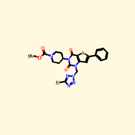 CCc1nnn(Cn2c(=O)n(C3CCN(C(=O)OC(C)(C)C)CC3)c(=O)c3sc(-c4ccccc4)cc32)n1